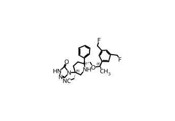 C[C@@H](OC[C@@]1(c2ccccc2)CC[C@](CC#N)(n2cn[nH]c2=O)CN1)c1cc(CF)cc(CF)c1